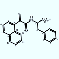 C=C(C(=O)N[C@H](Cc1ccccc1)C(=O)O)c1cccc2ccccc12